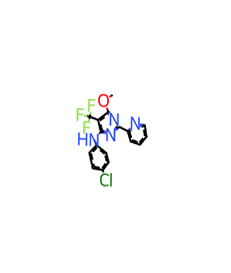 COc1nc(-c2ccccn2)nc(Nc2ccc(Cl)cc2)c1C(F)(F)F